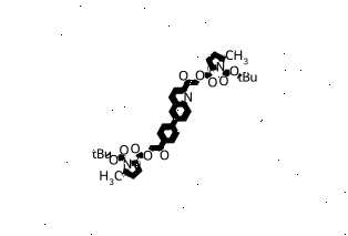 C[C@H]1CC[C@@H](C(=O)OCC(=O)c2ccc(-c3ccc4nc(C(=O)COC(=O)[C@@H]5CC[C@H](C)N5C(=O)OC(C)(C)C)ccc4c3)cc2)N1C(=O)OC(C)(C)C